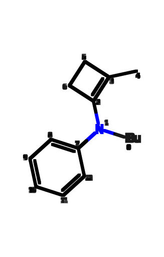 CCC(C)N(C1=C(C)CC1)c1ccccc1